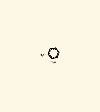 O.O.c1ccncc1